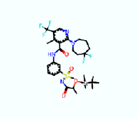 Cc1c(C(F)(F)F)cnc(N2CCCC(F)(F)CC2)c1C(=O)Nc1cccc(S(C)(=O)=NC(=O)C(C)O[Si](C)(C)C(C)(C)C)c1